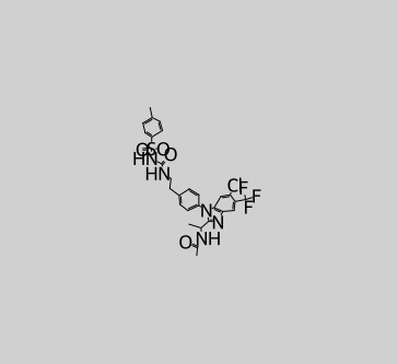 CC(=O)NC(C)c1nc2cc(C(F)(F)F)c(Cl)cc2n1-c1ccc(CCNC(=O)NS(=O)(=O)c2ccc(C)cc2)cc1